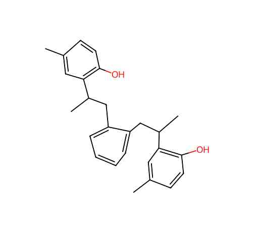 Cc1ccc(O)c(C(C)Cc2ccccc2CC(C)c2cc(C)ccc2O)c1